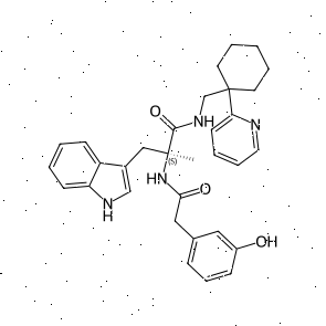 C[C@@](Cc1c[nH]c2ccccc12)(NC(=O)Cc1cccc(O)c1)C(=O)NCC1(c2ccccn2)CCCCC1